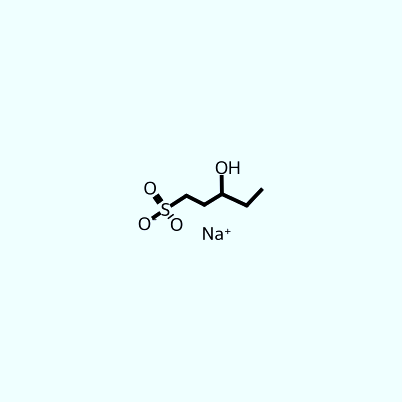 CCC(O)CCS(=O)(=O)[O-].[Na+]